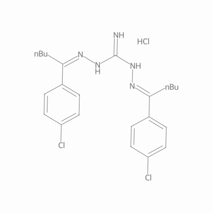 CCCCC(=NNC(=N)NN=C(CCCC)c1ccc(Cl)cc1)c1ccc(Cl)cc1.Cl